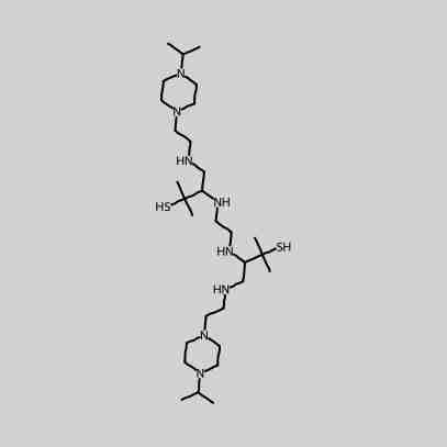 CC(C)N1CCN(CCNCC(NCCNC(CNCCN2CCN(C(C)C)CC2)C(C)(C)S)C(C)(C)S)CC1